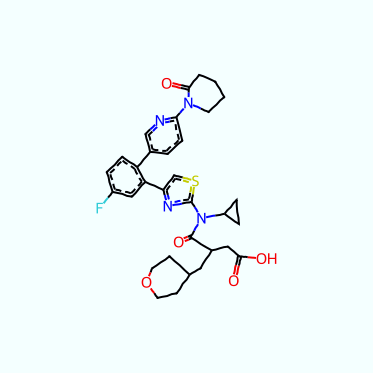 O=C(O)CC(CC1CCOCC1)C(=O)N(c1nc(-c2cc(F)ccc2-c2ccc(N3CCCCC3=O)nc2)cs1)C1CC1